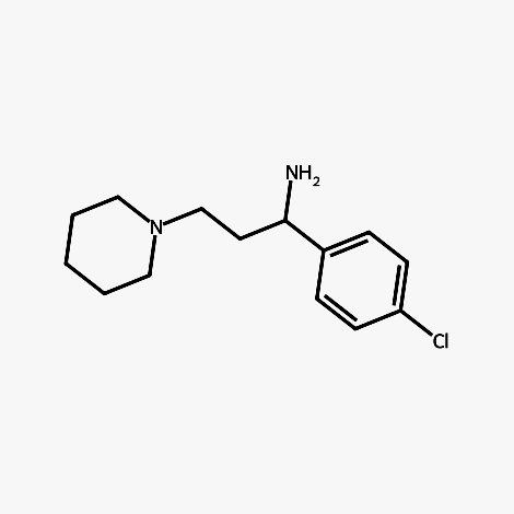 NC(CCN1CCCCC1)c1ccc(Cl)cc1